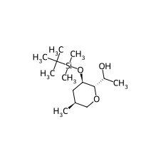 CC(O)[C@@H]1OC[C@@H](C)C[C@H]1O[Si](C)(C)C(C)(C)C